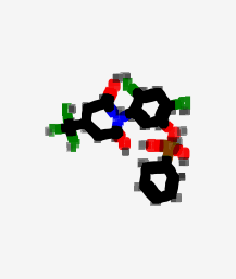 O=C1CC(C(F)(F)F)CC(=O)N1c1cc(OS(=O)(=O)c2ccccc2)c(Cl)cc1F